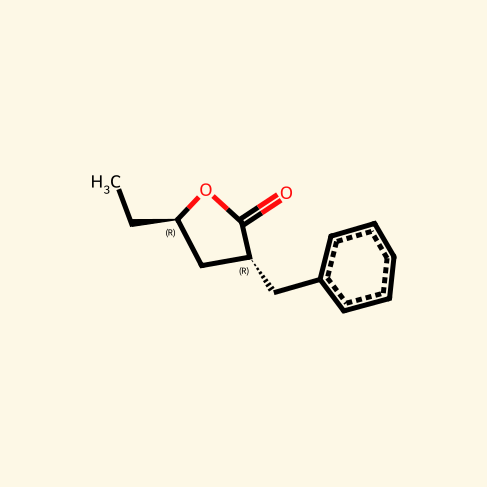 CC[C@@H]1C[C@@H](Cc2ccccc2)C(=O)O1